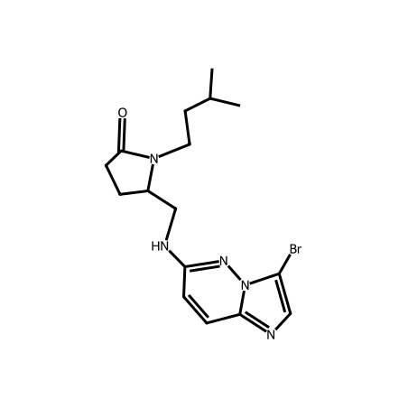 CC(C)CCN1C(=O)CCC1CNc1ccc2ncc(Br)n2n1